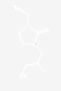 C=C1N(CC(C)CC)CCN1CC(C)CO